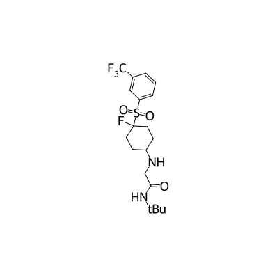 CC(C)(C)NC(=O)CNC1CCC(F)(S(=O)(=O)c2cccc(C(F)(F)F)c2)CC1